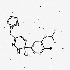 CC1(c2ccc(F)c(OC(F)F)c2)C=CC(Cn2cccn2)=NN1